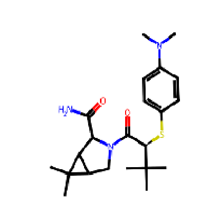 CN(C)c1ccc(S[C@H](C(=O)N2CC3C(C2C(N)=O)C3(C)C)C(C)(C)C)cc1